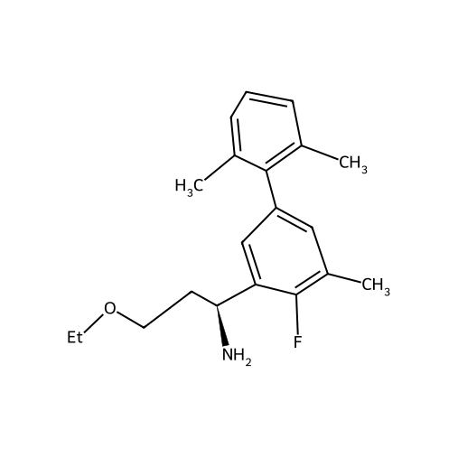 CCOCC[C@H](N)c1cc(-c2c(C)cccc2C)cc(C)c1F